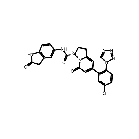 O=C1Cc2cc(NC(=O)[C@@H]3CCc4cc(-c5cc(Cl)ccc5-n5cnnn5)cc(=O)n43)ccc2N1